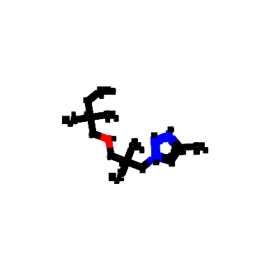 CNCC(C)(C)COCC(C)(C)Cn1cc(C)nn1